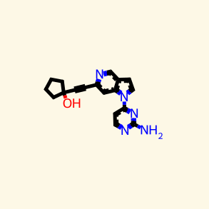 Nc1nccc(-n2ccc3cnc(C#CC4(O)CCCC4)cc32)n1